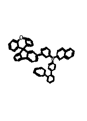 c1ccc(-c2ccccc2-c2ccc(N(c3cccc(-c4ccc5c(c4)C4(c6ccccc6Oc6ccccc64)c4ccccc4-5)c3)c3ccc4ccccc4c3)cc2)cc1